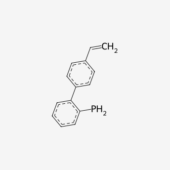 C=Cc1ccc(-c2ccccc2P)cc1